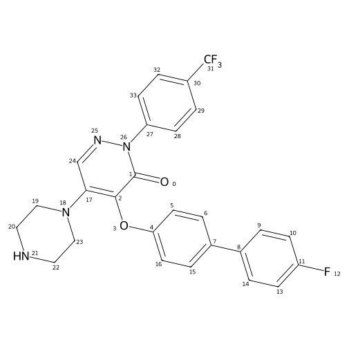 O=c1c(Oc2ccc(-c3ccc(F)cc3)cc2)c(N2CCNCC2)cnn1-c1ccc(C(F)(F)F)cc1